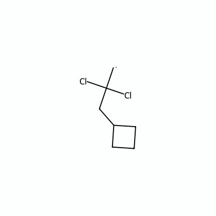 [CH2]C(Cl)(Cl)CC1CCC1